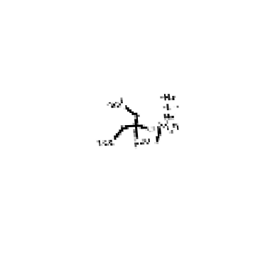 CCOC(C)=O.O=C([O-])CC(O)(CC(=O)[O-])C(=O)[O-].[Na+].[Na+].[Na+]